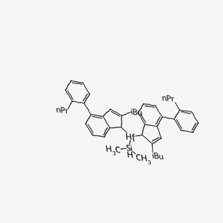 CCCc1ccccc1-c1cccc2c1C=C(C(C)CC)[CH]2[Hf]([CH]1C(C(C)CC)=Cc2c(-c3ccccc3CCC)cccc21)[SiH](C)C